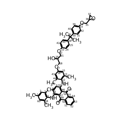 Cc1cc(C)c(Nc2ccc(Nc3c(C)cc(OCC(O)COc4ccc(C(C)(C)c5ccc(OCC6CO6)cc5)cc4)cc3C)c3c2C(=O)c2ccccc2C3=O)c(C)c1